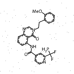 COc1ccccc1CCn1cnc2cccc(NC(=O)c3ccnc(C(F)(F)P)c3)c2c1=O